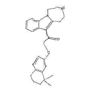 CC1(C)CCCc2ccc(OCC(=O)c3c4n(c5ccccc35)CCNCC4)cc21